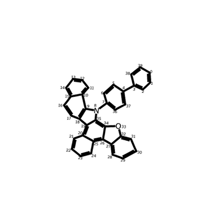 c1ccc(-c2ccc(-n3c4c5ccccc5ccc4c4c5ccccc5c5c6ccccc6oc5c43)cc2)cc1